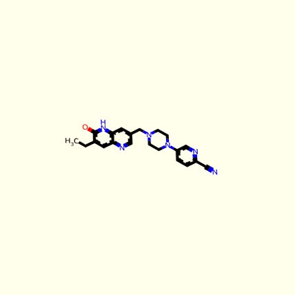 CCc1cc2ncc(CN3CCN(c4ccc(C#N)nc4)CC3)cc2[nH]c1=O